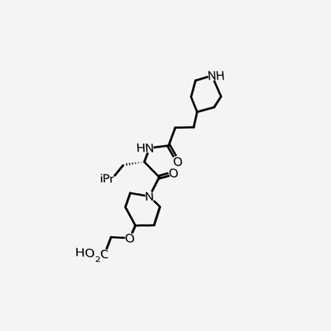 CC(C)C[C@H](NC(=O)CCC1CCNCC1)C(=O)N1CCC(OCC(=O)O)CC1